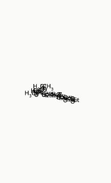 C=C(C)C(=O)OCC(C)(CCOc1ccc(-c2ccc(/C=C/C(=O)Oc3ccc(OC(=O)c4ccc(OC(=O)CC)cc4)cc3C)cc2)cc1)COC(=O)C(=C)C